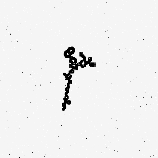 CCOC(=O)COCCOCCO[C@@H]1C[C@@H](COc2nc3c(c(N4CCN(C(=O)O)C(CC#N)C4)n2)CCN(c2cccc4ccccc24)C3)N(C)C1